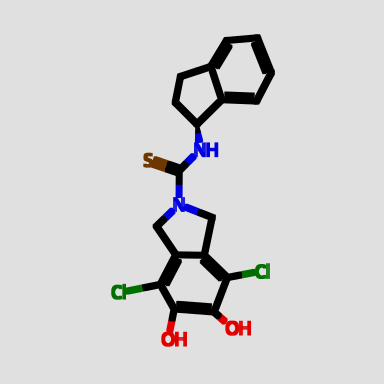 Oc1c(O)c(Cl)c2c(c1Cl)CN(C(=S)N[C@H]1CCc3ccccc31)C2